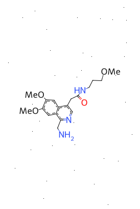 COCCCNC(=O)Cc1cnc(CN)c2cc(OC)c(OC)cc12